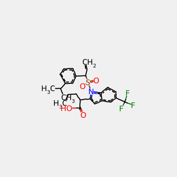 C=CC(c1cccc(C(C)C)c1)S(=O)(=O)n1c(C(CCC)C(=O)O)cc2cc(C(F)(F)F)ccc21